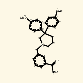 CNC(=O)c1cccc(CN2CCCC(c3ccc(OC)cc3)(c3ccc(OC)cc3)C2)c1